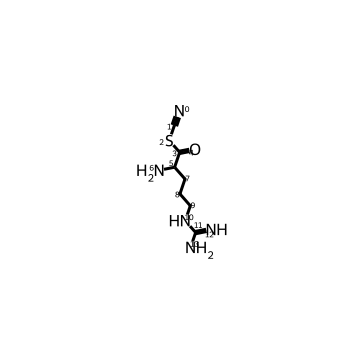 N#CSC(=O)C(N)CCCNC(=N)N